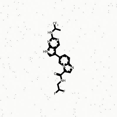 CC(Nc1ncc2c(-c3ccc4ncc(C(=O)NCC(F)F)n4c3)c[nH]c2n1)C(F)(F)F